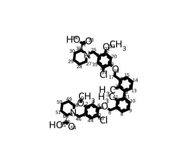 COc1cc(OCc2cccc(-c3cccc(COc4cc(OC)c(CN5CCCC[C@H]5C(=O)O)cc4Cl)c3C)c2C)c(Cl)cc1CN1CCCC[C@H]1C(=O)O